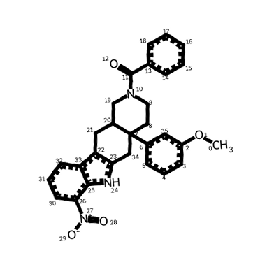 COc1cccc(C23CCN(C(=O)c4ccccc4)CC2Cc2c([nH]c4c([N+](=O)[O-])cccc24)C3)c1